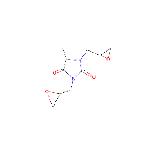 CC1C(=O)N(CC2CO2)C(=O)N1CC1CO1